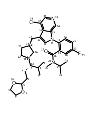 CC(C)[C@H](CCC1OCCO1)N1CC[C@@H](Cc2cn(-c3ccc(F)cc3C(=O)N(C)C(C)C)c3cncc(Cl)c23)C1